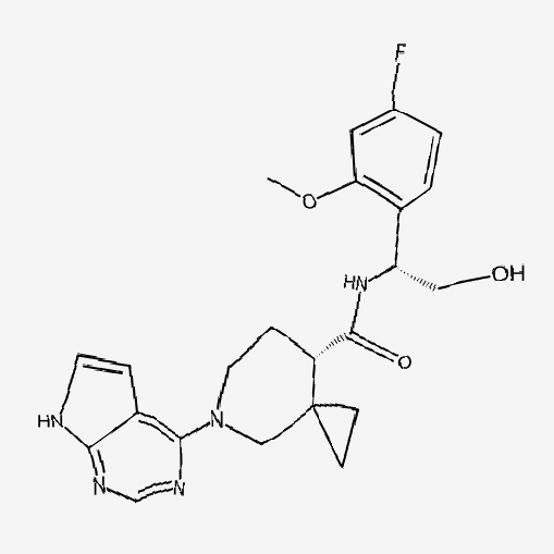 COc1cc(F)ccc1[C@H](CO)NC(=O)[C@H]1CCN(c2ncnc3[nH]ccc23)CC12CC2